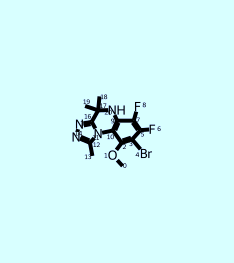 COc1c(Br)c(F)c(F)c2c1-n1c(C)nnc1C(C)(C)N2